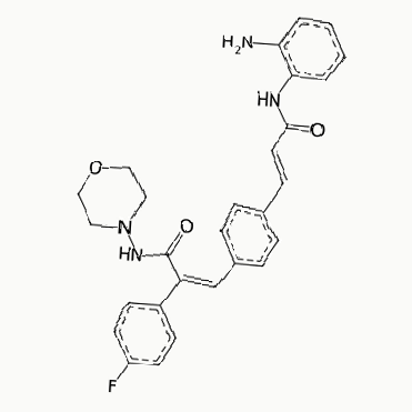 Nc1ccccc1NC(=O)/C=C/c1ccc(C=C(C(=O)NN2CCOCC2)c2ccc(F)cc2)cc1